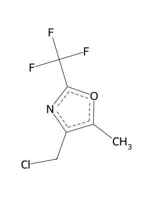 Cc1oc(C(F)(F)F)nc1CCl